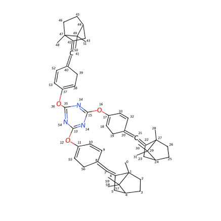 CC12CCC(CC1=C=C1C=CC(Oc3nc(OC4=CCC(=C=C5CC6CCC5(C)C6(C)C)C=C4)nc(OC4=CCC(=C=C5CC6CCC5(C)C6(C)C)C=C4)n3)=CC1)C2(C)C